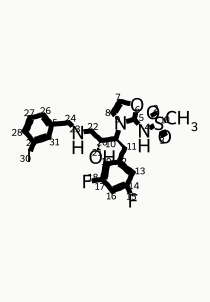 CS(=O)(=O)NC1OC=CN1[C@@H](Cc1cc(F)cc(F)c1)[C@H](O)CNCc1cccc(I)c1